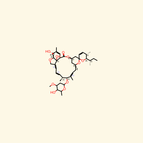 CC[C@H](C)[C@H]1OC2(C=C[C@@H]1C)C[C@@H]1C[C@@H](C/C=C(\C)[C@@H](OC3CC(OC)C(O)C(C)O3)[C@@H](C)/C=C/C=C3\CO[C@@H]4[C@H](O)C(C)=CC(C(=O)O1)[C@]34O)O2